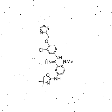 CNc1ccc(NC2=NC(C)(C)CO2)cc1C(=N)Nc1ccc(OCc2nccs2)c(Cl)c1